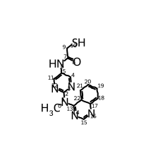 CN(c1ncc(NC(=O)CS)cn1)c1ncnc2ccccc12